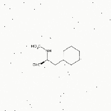 O=C[C@H](CC1CCCCC1)NC(=O)O